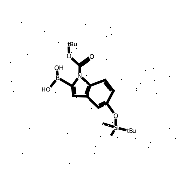 CC(C)(C)OC(=O)n1c(B(O)O)cc2cc(O[Si](C)(C)C(C)(C)C)ccc21